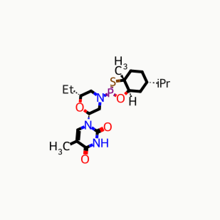 CC[C@@H]1CN(P2O[C@@H]3C[C@@H](C(C)C)CC[C@@]3(C)S2)C[C@H](n2cc(C)c(=O)[nH]c2=O)O1